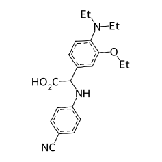 CCOc1cc(C(Nc2ccc(C#N)cc2)C(=O)O)ccc1N(CC)CC